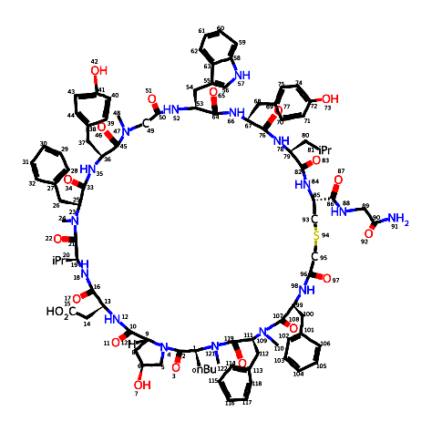 CCCC[C@H]1C(=O)N2C[C@@H](O)C[C@@H]2C(=O)N[C@@H](CC(=O)O)C(=O)N[C@@H](C(C)C)C(=O)N(C)[C@@H](Cc2ccccc2)C(=O)N[C@@H](Cc2ccc(O)cc2)C(=O)N(C)CC(=O)N[C@@H](Cc2c[nH]c3ccccc23)C(=O)N[C@@H](Cc2ccc(O)cc2)C(=O)N[C@@H](CC(C)C)C(=O)N[C@H](C(=O)NCC(N)=O)CSCC(=O)N[C@@H](Cc2ccccc2)C(=O)N(C)[C@@H](Cc2ccccc2)C(=O)N1C